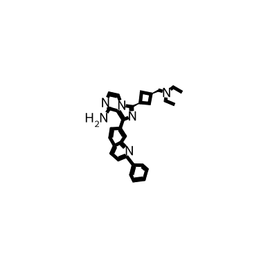 CCN(CC)C[C@H]1C[C@@H](c2nc(-c3ccc4ccc(-c5ccccc5)nc4c3)c3c(N)nccn32)C1